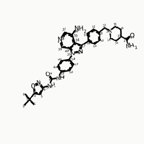 CC(C)(C)c1cc(NC(=O)Nc2ccc(-n3nc(-c4ccc(CN5CCC(C(N)=O)CC5)cc4)c4c(N)cncc43)cc2)no1